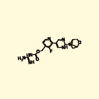 N=C(N)NC(=O)OCc1ccnc(C2=CNC(N3CC4CC3CO4)N=C2)c1F